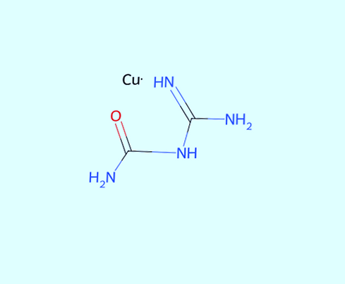 N=C(N)NC(N)=O.[Cu]